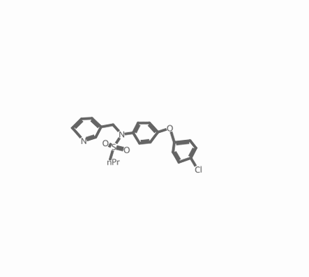 CCCS(=O)(=O)N(Cc1cccnc1)c1ccc(Oc2ccc(Cl)cc2)cc1